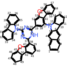 c1ccc2cc3c(cc2c1)c1ccccc1n3-c1cc(C2=NC(n3c4ccccc4c4ccccc43)=NC(c3cccc4c3oc3ccccc34)N2)cc2oc3ccccc3c12